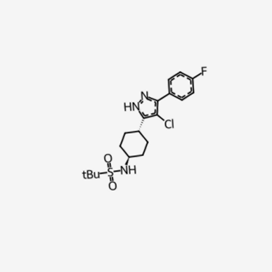 CC(C)(C)S(=O)(=O)N[C@H]1CC[C@H](c2[nH]nc(-c3ccc(F)cc3)c2Cl)CC1